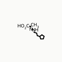 CC(=NNCCCC1CCCC1)C(=O)O